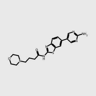 Nc1ncc(-c2ccc3nc(NC(=O)CCCN4CCOCC4)sc3c2)cn1